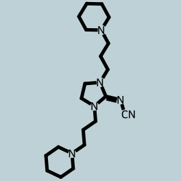 N#CN=C1N(CCCN2CCCCC2)CCN1CCCN1CCCCC1